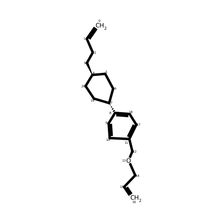 C=CCC[C@H]1CC[C@H](c2ccc(COCC=C)cc2)CC1